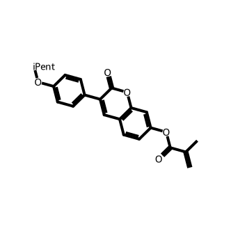 C=C(C)C(=O)Oc1ccc2cc(-c3ccc(OC(C)CCC)cc3)c(=O)oc2c1